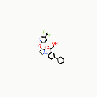 OCC(O)c1cc(-c2ccccc2)ccc1N1CCC(Oc2ccc(C(F)(F)F)cn2)C1